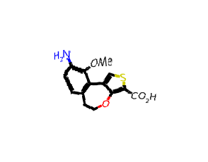 COc1c(N)ccc2c1-c1csc(C(=O)O)c1OCC2